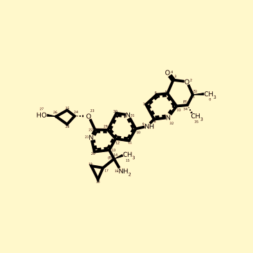 C[C@@H]1OC(=O)c2ccc(Nc3cc4c([C@](C)(N)C5CC5)cnc(O[C@H]5C[C@H](O)C5)c4cn3)nc2[C@H]1C